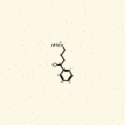 CCCCCCCCCC(=O)c1cc[c]cc1